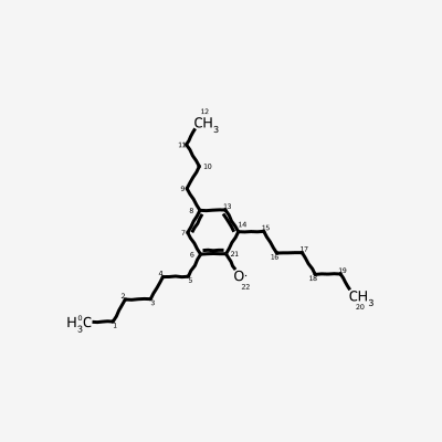 CCCCCCc1cc(CCCC)cc(CCCCCC)c1[O]